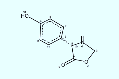 O=C1OCN[C@H]1c1ccc(O)cc1